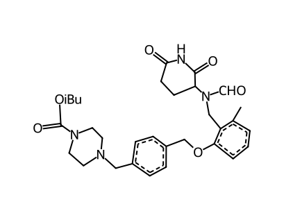 Cc1cccc(OCc2ccc(CN3CCN(C(=O)OCC(C)C)CC3)cc2)c1CN(C=O)C1CCC(=O)NC1=O